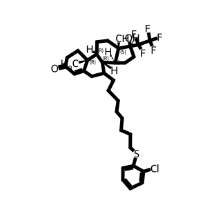 C[C@]12CCC(=O)C=C1CC(CCCCCCCCSc1ccccc1Cl)[C@@H]1[C@H]2CC[C@@]2(C)[C@H]1CCC2(O)C(F)(F)C(F)(F)F